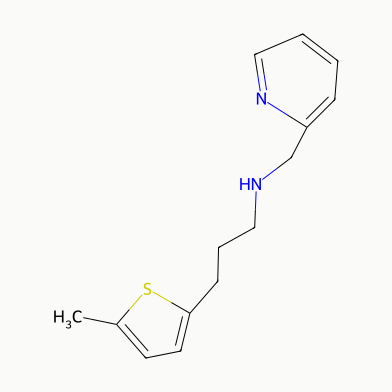 Cc1ccc(CCCNCc2ccccn2)s1